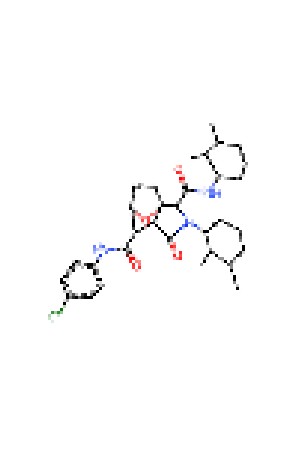 CC1CCCC(NC(=O)C2N(C3CCCC(C)C3C)C(=O)C3C(C(=O)Nc4ccc(Cl)cc4)C4CCC32O4)C1C